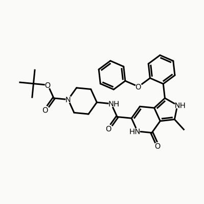 Cc1[nH]c(-c2ccccc2Oc2ccccc2)c2cc(C(=O)NC3CCN(C(=O)OC(C)(C)C)CC3)[nH]c(=O)c12